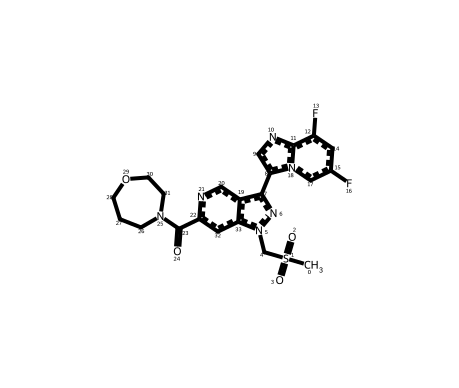 CS(=O)(=O)Cn1nc(-c2cnc3c(F)cc(F)cn23)c2cnc(C(=O)N3CCCOCC3)cc21